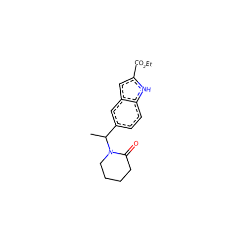 CCOC(=O)c1cc2cc(C(C)N3CCCCC3=O)ccc2[nH]1